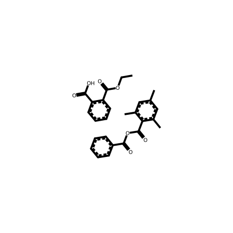 CCOC(=O)c1ccccc1C(=O)O.Cc1cc(C)c(C(=O)OC(=O)c2ccccc2)c(C)c1